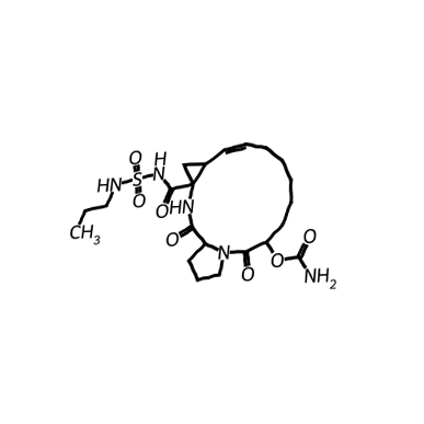 CCCNS(=O)(=O)NC(=O)C12CC1C=CCCCCCC(OC(N)=O)C(=O)N1CCCC1C(=O)N2